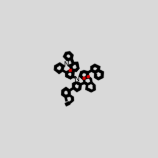 C#C/C=C\c1c(C)cccc1-c1ccc(C2=C3C=CC=CC3CC=C2)c(N(c2ccc(-c3ccccc3-n3c4ccccc4c4ccccc43)cc2)c2ccc(-c3cccc4ccccc34)cc2)c1